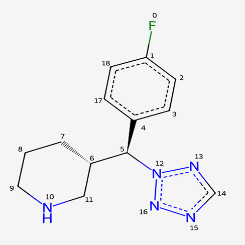 Fc1ccc([C@H]([C@H]2CCCNC2)n2ncnn2)cc1